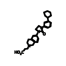 O=C(O)CCN1CCc2cc(N3CCN(c4cccc(C5CCCCC5)c4)C3=O)ccc2C1